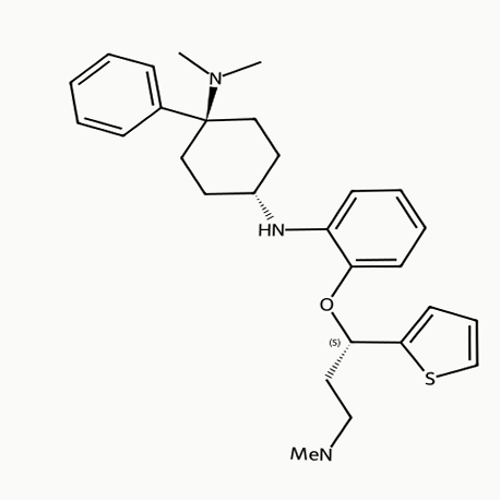 CNCC[C@H](Oc1ccccc1N[C@H]1CC[C@](c2ccccc2)(N(C)C)CC1)c1cccs1